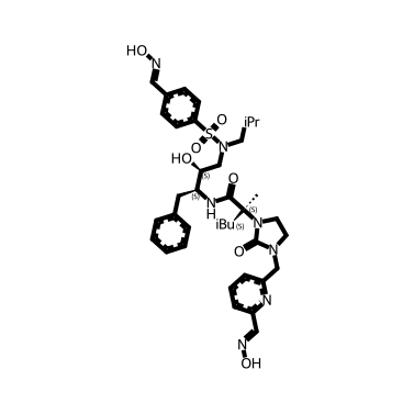 CC[C@H](C)[C@@](C)(C(=O)N[C@@H](Cc1ccccc1)[C@@H](O)CN(CC(C)C)S(=O)(=O)c1ccc(C=NO)cc1)N1CCN(Cc2cccc(C=NO)n2)C1=O